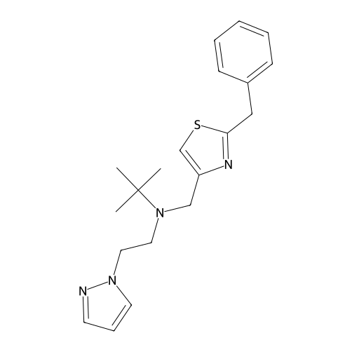 CC(C)(C)N(CCn1cccn1)Cc1csc(Cc2ccccc2)n1